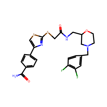 NC(=O)c1ccc(-c2csc(SCC(=O)NCC3CN(Cc4ccc(F)c(F)c4)CCO3)n2)cc1